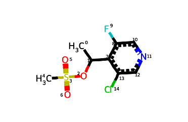 CC(OS(C)(=O)=O)c1c(F)cncc1Cl